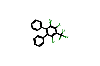 Brc1c(Br)c(C(Br)(Br)Br)c(Br)c(-c2ccccc2)c1-c1ccccc1